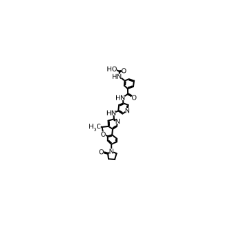 CC1Oc2cc(N3CCCC3=O)ccc2-c2cnc(Nc3cncc(NC(=O)c4cccc(NC(=O)O)c4)c3)cc21